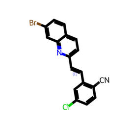 N#Cc1ccc(Cl)cc1/C=C/c1ccc2ccc(Br)cc2n1